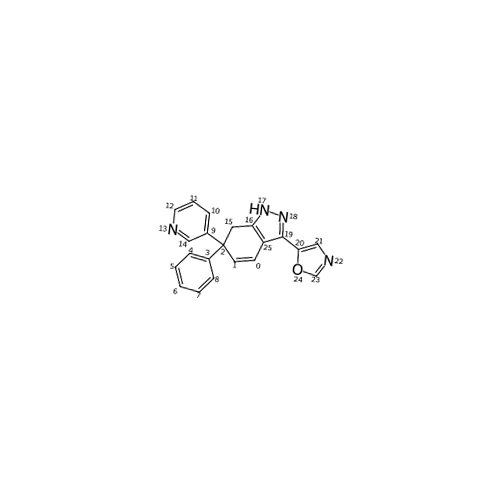 C1=CC(c2ccccc2)(c2cccnc2)Cc2[nH]nc(-c3cnco3)c21